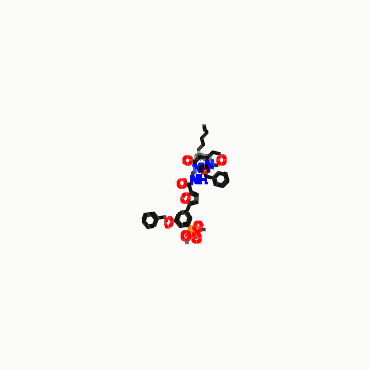 CCCCC[C@@H](C(=O)NCNC(=O)c1ccc(-c2cc(OCc3ccccc3)cc(P(=O)(OC)OC)c2)o1)[C@@H](CC)N(C=O)OCc1ccccc1